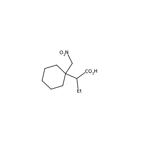 CCC(C(=O)O)C1(C[N+](=O)[O-])CCCCC1